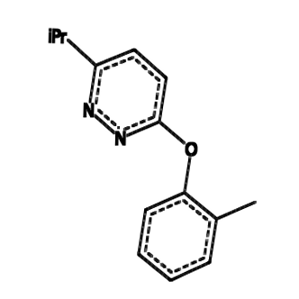 Cc1ccccc1Oc1ccc(C(C)C)nn1